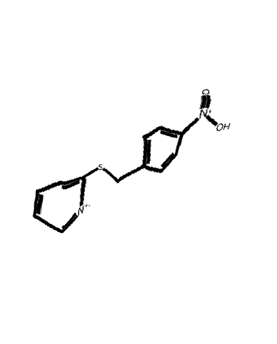 O=[N+](O)c1ccc(CSC2=CC=CC=[N+]2)cc1